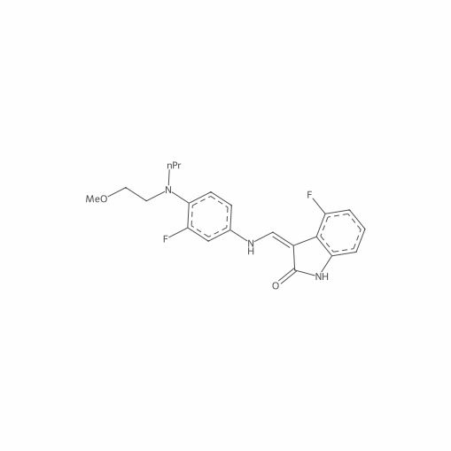 CCCN(CCOC)c1ccc(NC=C2C(=O)Nc3cccc(F)c32)cc1F